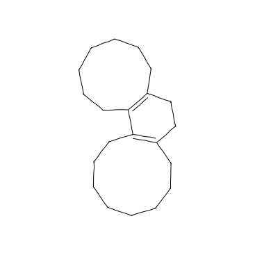 C1CCCCC2=C(CCC1)CCC1=C2CCCCCCC1